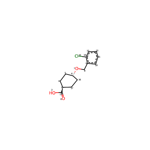 O=C(O)[C@H]1CC[C@H](OCc2ccccc2Cl)CC1